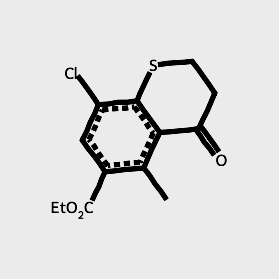 CCOC(=O)c1cc(Cl)c2c(c1C)C(=O)CCS2